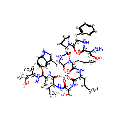 CSCC[C@H](NC(=O)[C@H](Cc1c[nH]c2ccccc12)NC(=O)[C@@H]1CCCN1C(=O)[C@H](Cc1ccccc1)NC(=O)[C@@H](N)CO)C(=O)N[C@@H](CCC(=O)O)C(=O)N[C@@H](CO)C(=O)N[C@@H](CC(=O)O)C(=O)N[C@H](C(=O)N[C@H](C(=O)O)[C@@H](C)O)C(C)C